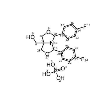 O=P(O)(O)O.OCC12COC(c3ccc(F)cc3)N1C(c1ccc(F)cc1)OC2